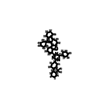 CC1(C)c2ccccc2-c2ccc(-c3nc(-c4ccccc4)nc(-c4cccc5c4oc4ccc6c7ccccc7n(-c7ccccc7)c6c45)n3)cc21